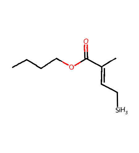 CCCCOC(=O)C(C)=CC[SiH3]